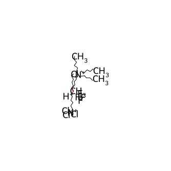 CCCCCC[N+](CCCCCC)(CCCCCC)CCCCCC.ClCCCCCCCCCCCC[N+](Cl)(Cl)Cl.F[B-](F)(F)F.[H+]